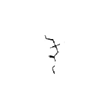 CCOC(=O)CC(Cl)(Cl)CCO